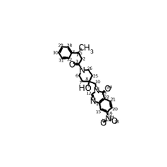 C[C@H](CC(=O)N1CCC(O)(Cn2cnc3cc([N+](=O)[O-])ccc3c2=O)CC1)c1ccccc1